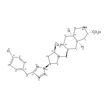 O=C(O)[C@@H]1C[C@H]2C[C@@H](CN3C[C@@H](n4nnc(Cc5ccc(Cl)cc5)n4)C[C@H]3C(=O)O)CC[C@H]2CN1